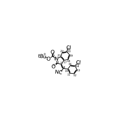 CC(C)(C)OC(=O)N1C(=O)C(=C(C#N)c2cccc(Cl)c2)c2ccc(Cl)cc21